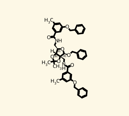 Cc1cc(OCc2ccccc2)cc(C(=O)NC[C@H]2O[C@@H](OCc3ccccc3)[C@]3(CNC(=O)c4cc(C)cc(OCc5ccccc5)c4)OC(C)(C)O[C@H]23)c1